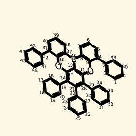 c1ccc(-c2cccc3c2Oc2c4c(c(-c5ccccc5)c(-c5ccccc5)c2-c2ccccc2)Oc2c(cccc2-c2ccccc2)B34)cc1